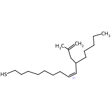 C=C(C)CC(/C=C\CCCCCCCS)CCCCC